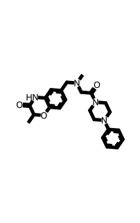 CC1Oc2ccc(CN(C)CC(=O)N3CCN(c4ccccc4)CC3)cc2NC1=O